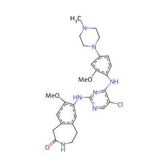 COc1cc2c(cc1Nc1ncc(Cl)c(Nc3ccc(N4CCN(C)CC4)cc3OC)n1)CCNC(=O)C2